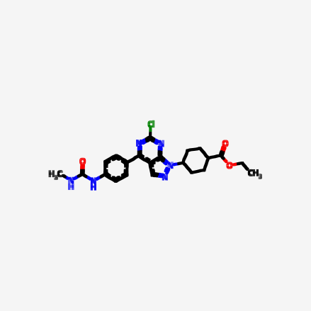 CCOC(=O)C1CCC(n2ncc3c(-c4ccc(NC(=O)NC)cc4)nc(Cl)nc32)CC1